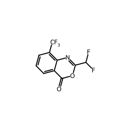 O=c1oc(C(F)F)nc2c(C(F)(F)F)cccc12